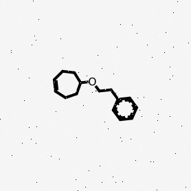 [CH](Cc1ccccc1)OC1CCC=CCC1